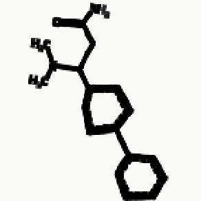 CN(C)C(CC(N)=O)c1ccc(-c2ccccc2)cc1